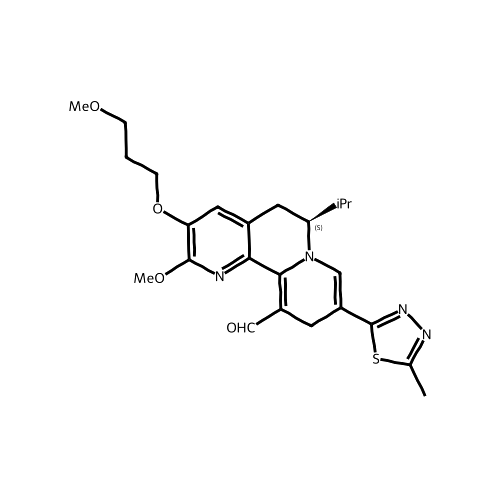 COCCCOc1cc2c(nc1OC)C1=C(C=O)CC(c3nnc(C)s3)=CN1[C@H](C(C)C)C2